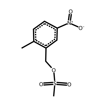 Cc1ccc([N+](=O)[O-])cc1COS(C)(=O)=O